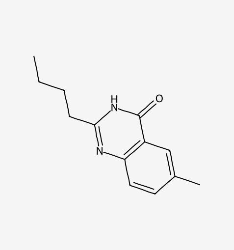 CCCCc1nc2ccc(C)cc2c(=O)[nH]1